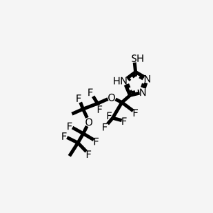 CC(F)(F)C(F)(F)OC(C)(F)C(F)(F)OC(F)(c1nnc(S)[nH]1)C(F)(F)F